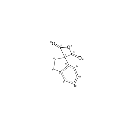 O=C1OC(=O)C12CCc1ccccc12